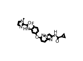 Cn1ccnc1C(=O)Nc1cc(Oc2ccc3nc(NC(=O)C4CC4)cn3n2)ccc1F